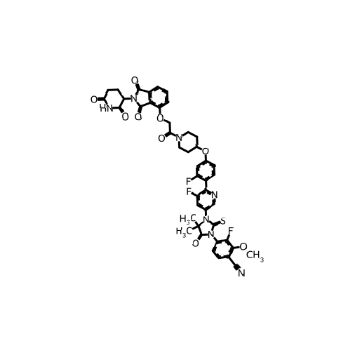 COc1c(C#N)ccc(N2C(=O)C(C)(C)N(c3cnc(-c4ccc(OC5CCN(C(=O)COc6cccc7c6C(=O)N(C6CCC(=O)NC6=O)C7=O)CC5)cc4F)c(F)c3)C2=S)c1F